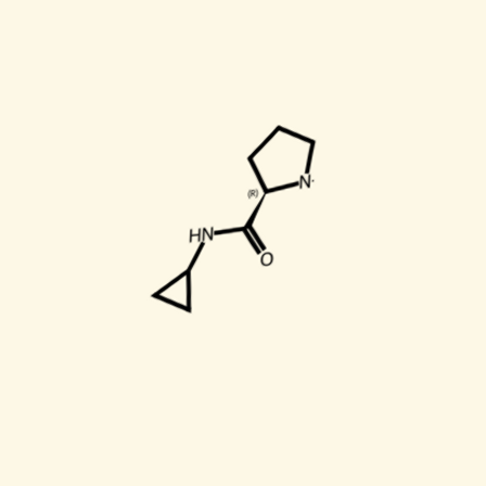 O=C(NC1CC1)[C@H]1CCC[N]1